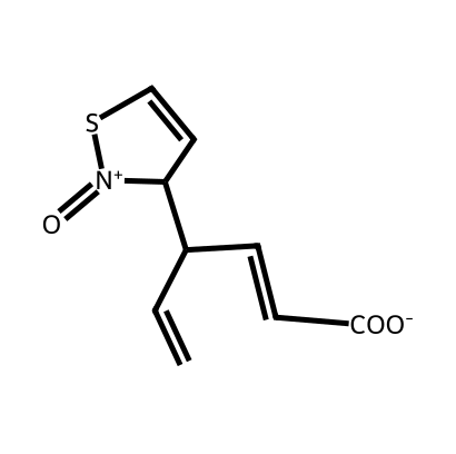 C=CC(C=CC(=O)[O-])C1C=CS[N+]1=O